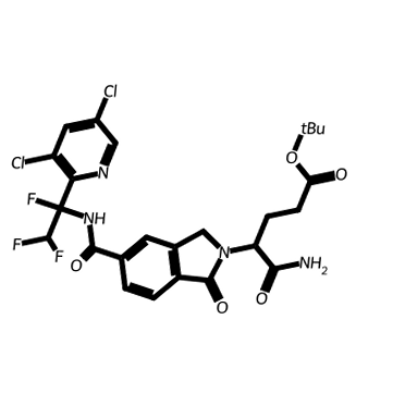 CC(C)(C)OC(=O)CCC(C(N)=O)N1Cc2cc(C(=O)NC(F)(c3ncc(Cl)cc3Cl)C(F)F)ccc2C1=O